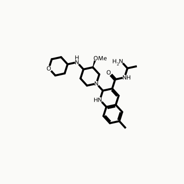 CO[C@H]1CN(C2Nc3ccc(C)cc3C=C2C(=O)NC(C)N)CCC1NC1CCOCC1